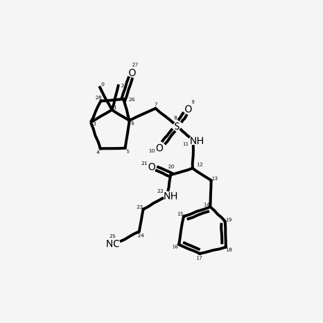 CC1(C)C2CCC1(CS(=O)(=O)NC(Cc1ccccc1)C(=O)NCCC#N)C(=O)C2